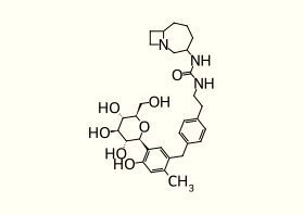 Cc1cc(O)c([C@@H]2O[C@H](CO)[C@@H](O)[C@H](O)[C@H]2O)cc1Cc1ccc(CCNC(=O)NC2CCCC3CCN3C2)cc1